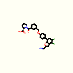 N=Cc1cc2c(F)c(F)cc(-c3ccc(OCc4cccc(C(=O)N5CCC[C@H]5C(=O)O)c4)cc3)c2o1